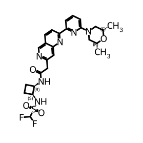 C[C@@H]1CN(c2cccc(-c3ccc4cnc(CC(=O)N[C@@H]5CC[C@@H]5NS(=O)(=O)C(F)F)cc4n3)n2)C[C@H](C)O1